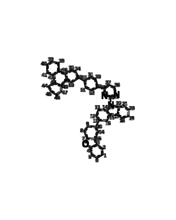 c1ccc2c(c1)oc1ccc(-c3ccc4c(c3)c3ccccc3n4-c3nccc(-c4ccc(-c5ccc6c7ccccc7c7ccccc7c6c5)cc4)n3)cc12